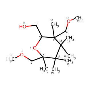 COCC1(C)OC(CO)C(C)(COC)C(C)(C)C1(C)C